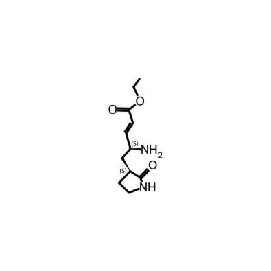 CCOC(=O)C=C[C@@H](N)C[C@@H]1CCNC1=O